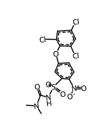 CN(C)C(=O)NS(=O)(=O)c1cc(Oc2c(Cl)cc(Cl)cc2Cl)ccc1[N+](=O)[O-]